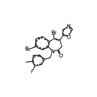 Cc1ccc(CN2C(=O)CC(c3cnco3)=C(Br)c3ccc(Br)cc32)cc1F